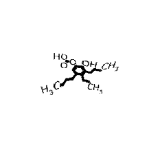 CCCCc1cc(OC(=O)O)c(O)c(CCCC)c1CCC